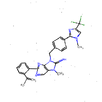 C=C(C)c1ccccc1-c1ncc2c(n1)n(Cc1ccc(-c3nc(C(F)(F)F)cn3C)cc1)c(=N)n2C